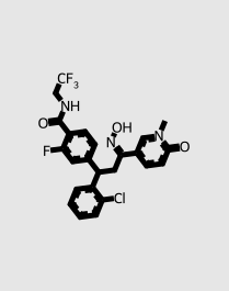 Cn1cc(C(CC(c2ccc(C(=O)NCC(F)(F)F)c(F)c2)c2ccccc2Cl)=NO)ccc1=O